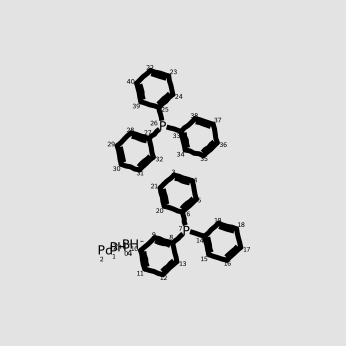 [BH4-].[BH4-].[Pd+2].c1ccc(P(c2ccccc2)c2ccccc2)cc1.c1ccc(P(c2ccccc2)c2ccccc2)cc1